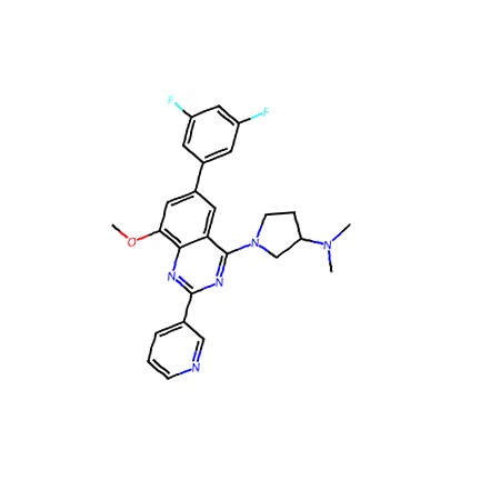 COc1cc(-c2cc(F)cc(F)c2)cc2c(N3CCC(N(C)C)C3)nc(-c3cccnc3)nc12